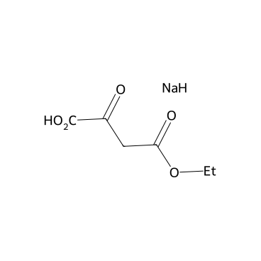 CCOC(=O)CC(=O)C(=O)O.[NaH]